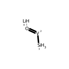 [LiH].[O]=[V][SiH3]